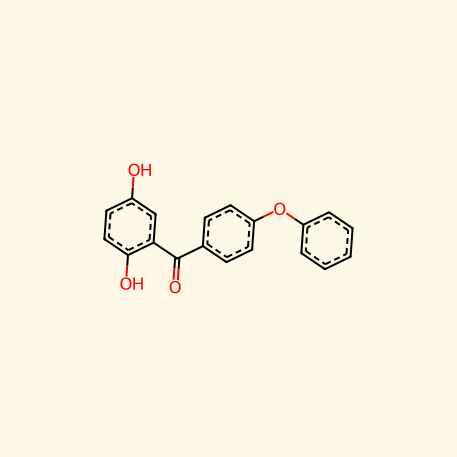 O=C(c1ccc(Oc2ccccc2)cc1)c1cc(O)ccc1O